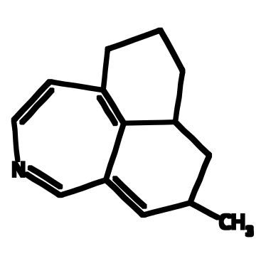 CC1C=C2C=NC=CC3=C2C(CCC3)C1